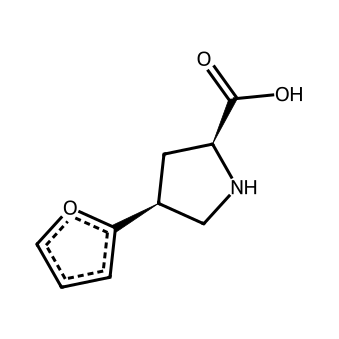 O=C(O)[C@@H]1C[C@H](c2ccco2)CN1